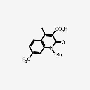 CCCCn1c(=O)c(C(=O)O)c(C)c2ccc(C(F)(F)F)cc21